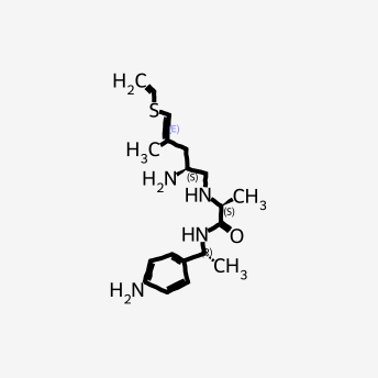 C=CS/C=C(\C)C[C@H](N)CN[C@@H](C)C(=O)N[C@H](C)c1ccc(N)cc1